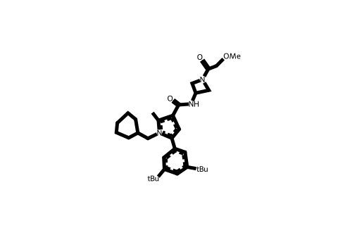 COCC(=O)N1CC(NC(=O)c2cc(-c3cc(C(C)(C)C)cc(C(C)(C)C)c3)n(CC3CCCCC3)c2C)C1